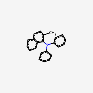 Cc1ccc2ccccc2c1N(c1ccccc1)c1ccccc1